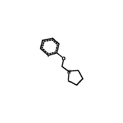 [c]1ccccc1OCN1CCCC1